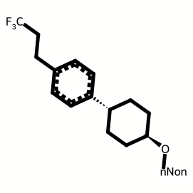 CCCCCCCCCO[C@H]1CC[C@H](c2ccc(CCC(F)(F)F)cc2)CC1